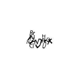 CC(C)(C)OC(=O)N[C@H]1CCCN(c2nc(Br)cnc2Cl)C1